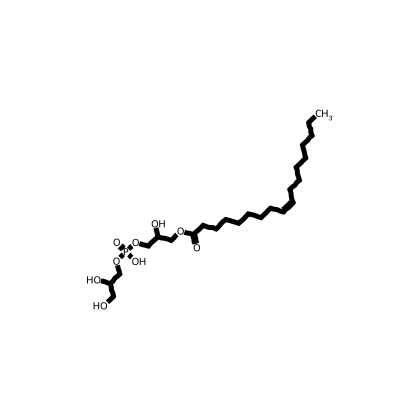 CCCCCCCC/C=C\CCCCCCCC(=O)OCC(O)COP(=O)(O)OCC(O)CO